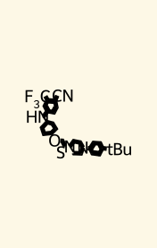 CC(C)(C)c1ccc(N2CCN(C(=S)CO[C@H]3CC[C@H](Nc4ccc(C#N)c(C(F)(F)F)c4)CC3)CC2)cc1